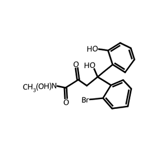 CN(O)C(=O)C(=O)CC(O)(c1ccccc1O)c1ccccc1Br